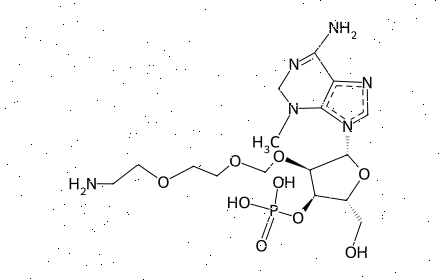 CN1CN=C(N)c2ncn([C@@H]3O[C@H](CO)[C@@H](OP(=O)(O)O)[C@H]3OCOCCOCCN)c21